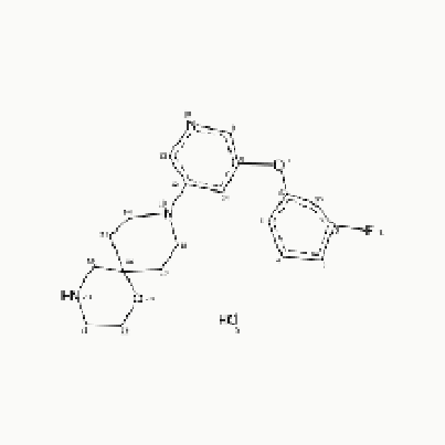 Cl.Fc1cccc(Oc2cncc(N3CCC4(CC3)CNCCO4)c2)c1